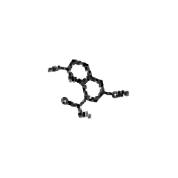 CCCCc1ccc2cc(OC)cc(C(N)=O)c2n1